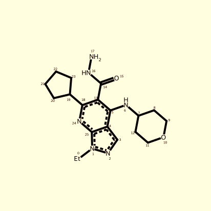 CCn1ncc2c(NC3CCOCC3)c(C(=O)NN)c(C3CCCC3)nc21